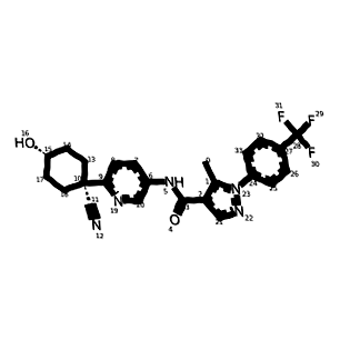 Cc1c(C(=O)Nc2ccc([C@]3(C#N)CC[C@@H](O)CC3)nc2)cnn1-c1ccc(C(F)(F)F)cc1